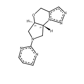 c1cnc(N2C[C@@H]3[C@@H](C2)OCc2cnnn23)nc1